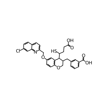 O=C(O)CCC(S)C1c2cc(OCc3ccc4ccc(Cl)cc4n3)ccc2OCC1Cc1cccc(C(=O)O)c1